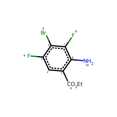 CCOC(=O)c1cc(F)c(Br)c(F)c1N